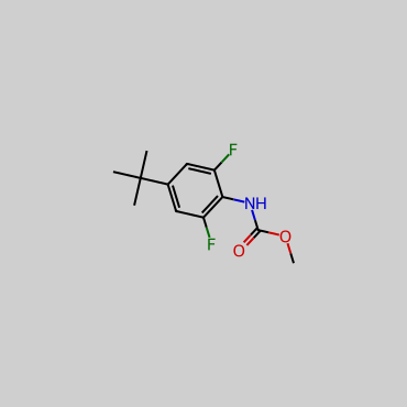 COC(=O)Nc1c(F)cc(C(C)(C)C)cc1F